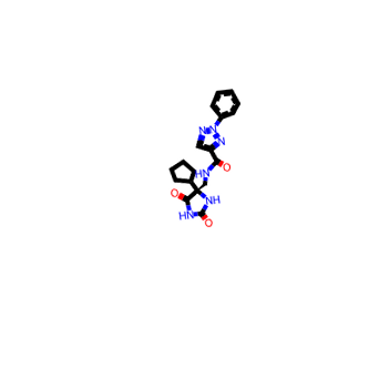 O=C1NC(=O)[C@](CNC(=O)c2cnn(-c3ccccc3)n2)(C2CCCC2)N1